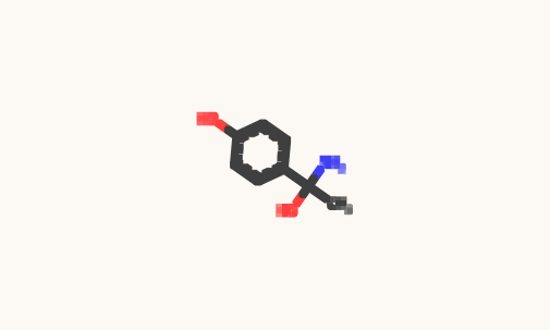 CC(N)(O)c1ccc(O)cc1